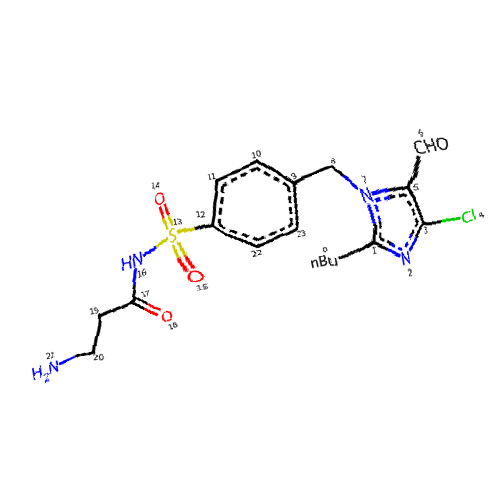 CCCCc1nc(Cl)c(C=O)n1Cc1ccc(S(=O)(=O)NC(=O)CCN)cc1